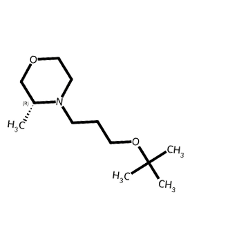 C[C@@H]1COCCN1CCCOC(C)(C)C